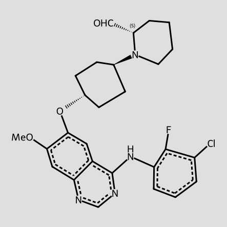 COc1cc2ncnc(Nc3cccc(Cl)c3F)c2cc1O[C@H]1CC[C@H](N2CCCC[C@H]2C=O)CC1